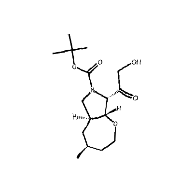 C[C@@H]1CCO[C@@H]2[C@@H](C1)CN(C(=O)OC(C)(C)C)[C@@H]2C(=O)CO